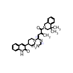 C=C(/C=C(\N=C/N)N1CCC(c2cc3ccccc3[nH]c2=O)CC1)C(=O)N1Cc2ccccc2C(C)(C)C1